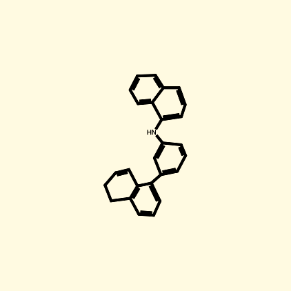 C1=Cc2c(cccc2-c2cccc(Nc3cccc4ccccc34)c2)CC1